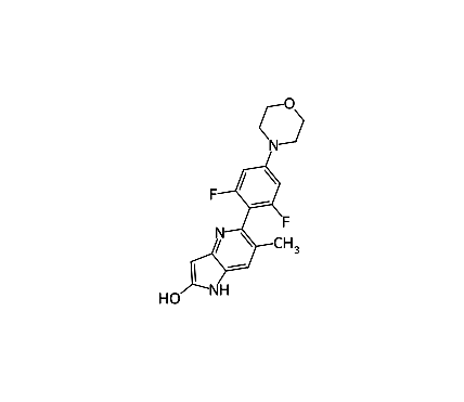 Cc1cc2[nH]c(O)cc2nc1-c1c(F)cc(N2CCOCC2)cc1F